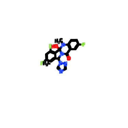 CCC(N1C(=O)c2cc(F)ccc2N(C)C1(O)c1ccc(F)cc1F)n1cncn1